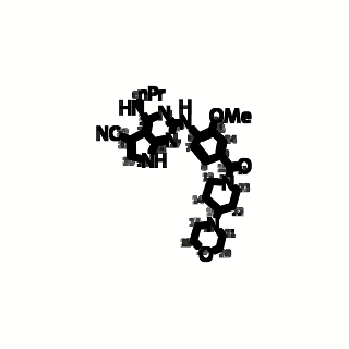 CCCNc1nc(Nc2ccc(C(=O)N3CCC(N4CCOCC4)CC3)cc2OC)nc2[nH]cc(C#N)c12